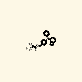 C=C(C)C(=O)OCc1ccc(N(c2ccccc2)C2CCCC3=C2CC3)cc1